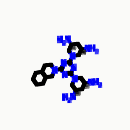 N[C@@H]1C[C@@H](N)CN(c2nc(N3CCC4CCCCC4C3)nc(N3C[C@H](N)C[C@H](N)C3)n2)C1